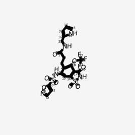 O=C(CCc1c(NS(=O)(=O)c2ccno2)cc2c(c1OC(F)(F)F)C(=O)NS2(=O)=O)NCc1ccc[nH]1